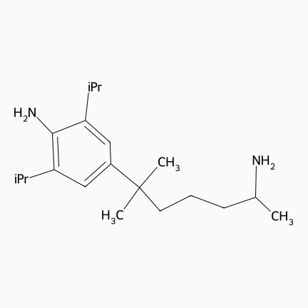 CC(N)CCCC(C)(C)c1cc(C(C)C)c(N)c(C(C)C)c1